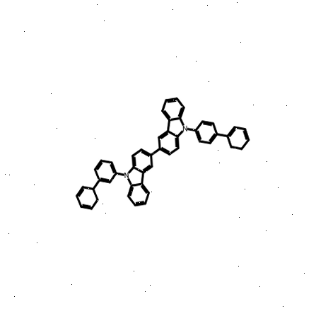 C1=CCCC(c2ccc(-n3c4ccccc4c4cc(-c5ccc6c(c5)c5ccccc5n6-c5cccc(C6C=CC=CC6)c5)ccc43)cc2)=C1